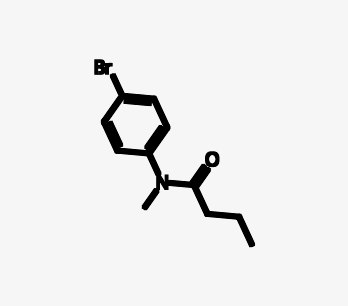 CCCC(=O)N(C)c1ccc(Br)cc1